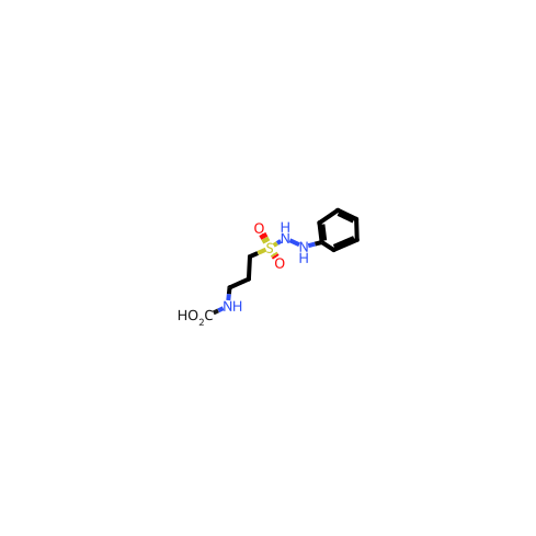 O=C(O)NCCCS(=O)(=O)NNc1ccccc1